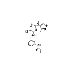 C=CC(=O)Nc1cccc(CNc2nc(Nc3cn(C)nc3C)ncc2Cl)c1